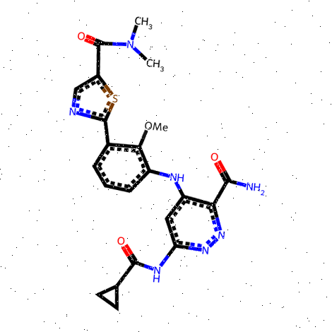 COc1c(Nc2cc(NC(=O)C3CC3)nnc2C(N)=O)cccc1-c1ncc(C(=O)N(C)C)s1